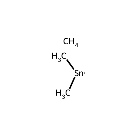 C.[CH3][Sn][CH3]